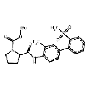 CC(C)(C)OC(=O)N1CCCC1C(=O)Nc1ccc(-c2ccccc2S(C)(=O)=O)cc1C(F)(F)F